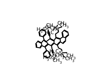 CC[Si](CC)(CC)CCc1c2ccc3ccccc3c2c(CC[Si](CC)(CC)CC)c2c(C#C[Si](C)(C)C)c3c(-c4ccccc4)c4ccccc4c(-c4ccccc4)c3c(C#C[Si](C)(C)C)c12